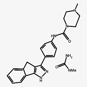 CN1CCN(C(=O)Nc2ccc(-c3n[nH]c4c3Cc3ccccc3-4)cc2)CC1.CNC(N)=O